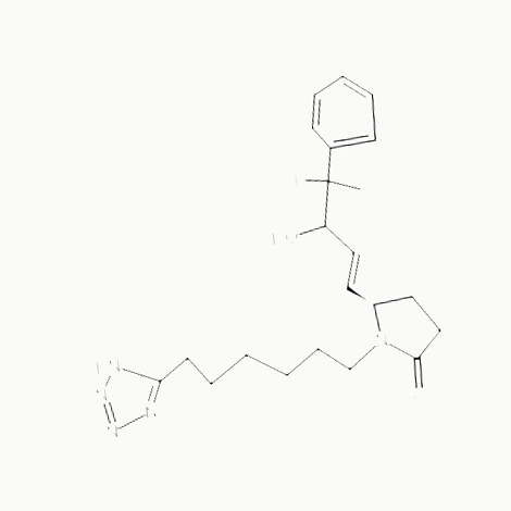 O=C1CC[C@H](/C=C/C(O)C(F)(F)c2ccccc2)N1CCCCCCc1nnn[nH]1